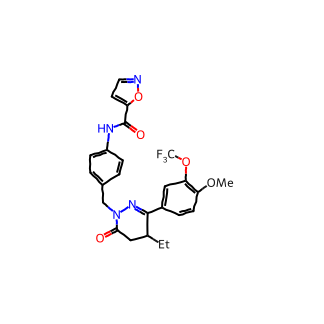 CCC1CC(=O)N(Cc2ccc(NC(=O)c3ccno3)cc2)N=C1c1ccc(OC)c(OC(F)(F)F)c1